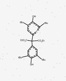 CCOC(=O)C(C(=O)OCC)(c1cc(C(C)(C)C)c(O)c(C(C)(C)C)c1)c1cc(C(C)(C)C)c(O)c(C(C)(C)C)c1